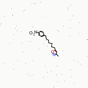 Cc1cc(CCCCCCCc2ccc([N+](=O)[O-])cc2)on1